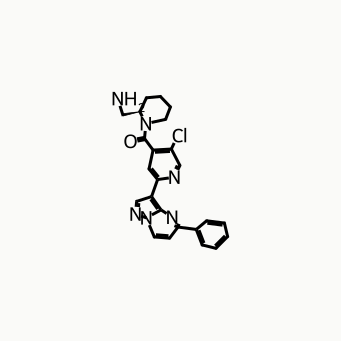 NC[C@H]1CCCCN1C(=O)c1cc(-c2cnn3ccc(-c4ccccc4)nc23)ncc1Cl